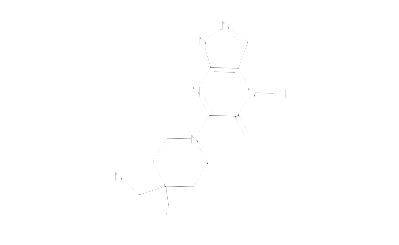 Cn1c(=O)c(N2CCC(C)(CN)CC2)nc2[nH]n[c]c21